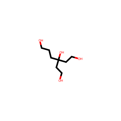 OCCCC(O)(CCO)CCO